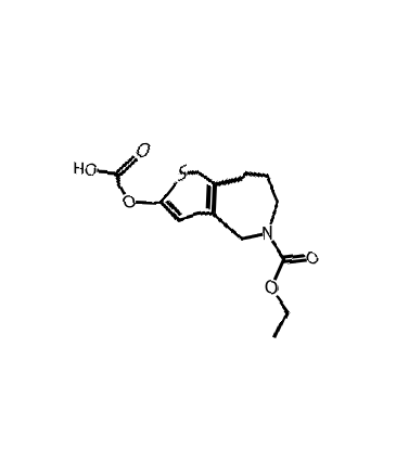 CCOC(=O)N1CCCc2sc(OC(=O)O)cc2C1